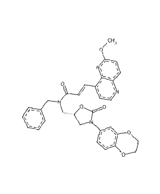 COc1ccc2nccc(C=CC(=O)N(Cc3ccccc3)C[C@H]3CN(c4ccc5c(c4)OCCO5)C(=O)O3)c2n1